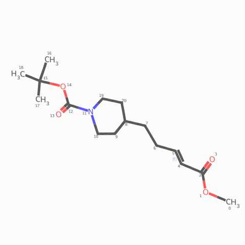 COC(=O)/C=C/CCC1CCN(C(=O)OC(C)(C)C)CC1